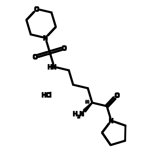 Cl.N[C@@H](CCCNS(=O)(=O)N1CCOCC1)C(=O)N1CCCC1